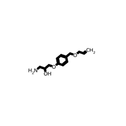 C=CCOCc1ccc(OCC(O)CN)cc1